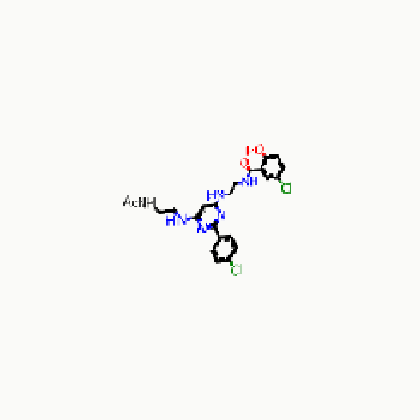 CC(=O)NCCNc1cc(NCCNC(=O)c2cc(Cl)ccc2O)nc(-c2ccc(Cl)cc2)n1